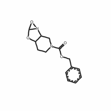 O=C(OCc1ccccc1)N1CCC2OC3ON3C2C1